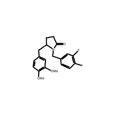 COc1ccc(CC2CCC(=O)N2Cc2ccc(F)c(F)c2)cc1OC